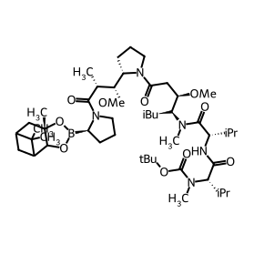 CC[C@H](C)[C@@H]([C@@H](CC(=O)N1CCC[C@H]1[C@H](OC)[C@@H](C)C(=O)N1CCC[C@H]1B1OC2C3CC(C[C@]2(C)O1)C3(C)C)OC)N(C)C(=O)[C@@H](NC(=O)[C@H](C(C)C)N(C)C(=O)OC(C)(C)C)C(C)C